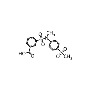 CN(c1ccc(S(C)(=O)=O)cc1)S(=O)(=O)c1cccc(C(=O)O)c1